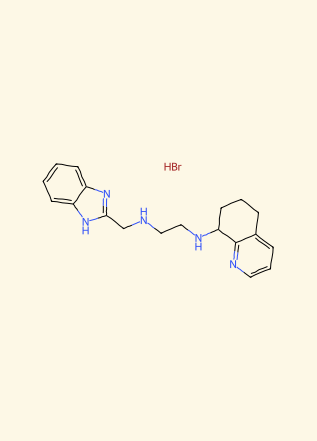 Br.c1cnc2c(c1)CCCC2NCCNCc1nc2ccccc2[nH]1